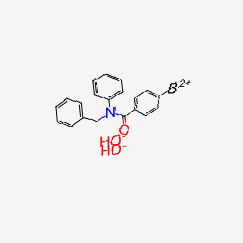 [B+2]c1ccc(C(=O)N(Cc2ccccc2)c2ccccc2)cc1.[OH-].[OH-]